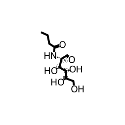 CCCC(=O)N[C@H](C=O)[C@@H](O)[C@H](O)[C@H](O)CO